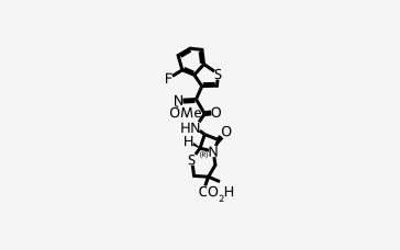 CON=C(C(=O)NC1C(=O)N2CC(C)(C(=O)O)CS[C@H]12)c1csc2cccc(F)c12